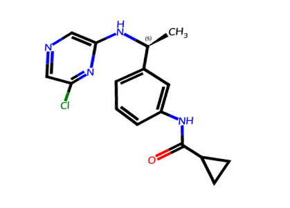 C[C@H](Nc1cncc(Cl)n1)c1cccc(NC(=O)C2CC2)c1